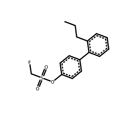 CCCc1ccccc1-c1ccc(OS(=O)(=O)CF)cc1